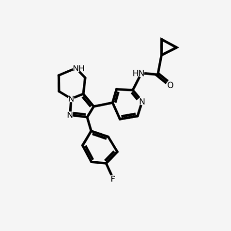 O=C(Nc1cc(-c2c(-c3ccc(F)cc3)nn3c2CNCC3)ccn1)C1CC1